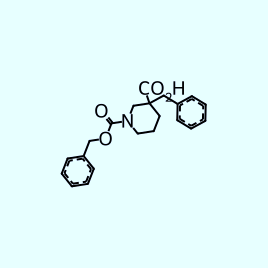 O=C(OCc1ccccc1)N1CCCC(Cc2ccccc2)(C(=O)O)C1